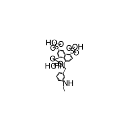 CCNc1cccc(CNc2ccc(S(=O)(=O)O)c3cc(S(=O)(=O)O)cc(S(=O)(=O)O)c23)c1